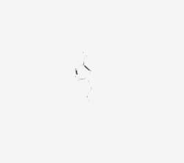 O=C(O)CCn1cc([N+](=O)[O-])cn1